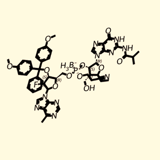 [BH3-][P+](OCCC#N)(OC[C@H]1OC(n2cnc3c(C)ncnc32)[C@@H](F)[C@H]1OC(c1ccccc1)(c1ccc(OC)cc1)c1ccc(OC)cc1)O[C@@H]1[C@H](n2cnc3c(=O)[nH]c(NC(=O)C(C)C)nc32)OC(CC)[C@@H]1CO